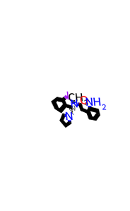 CN(C(=O)Cc1ccccc1N)[C@H](CN1CCCC1)c1ccccc1I